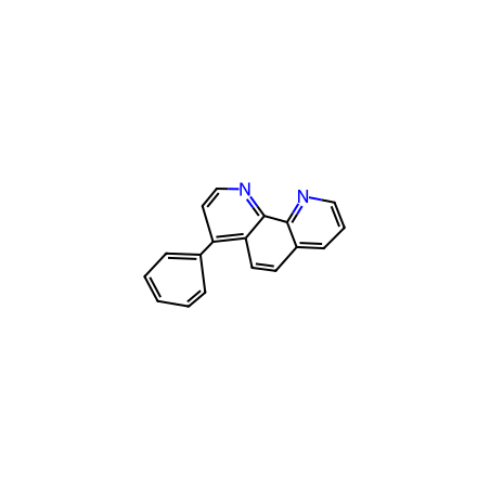 c1ccc(-c2ccnc3c2ccc2cccnc23)cc1